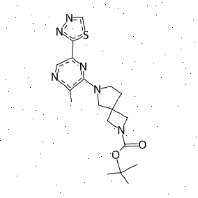 Cc1ncc(-c2nncs2)nc1N1CCC2(CN(C(=O)OC(C)(C)C)C2)C1